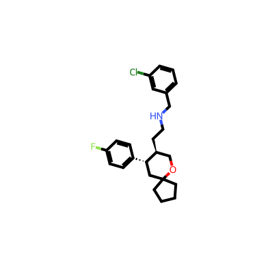 Fc1ccc([C@H]2CC3(CCCC3)OC[C@@H]2CCNCc2cccc(Cl)c2)cc1